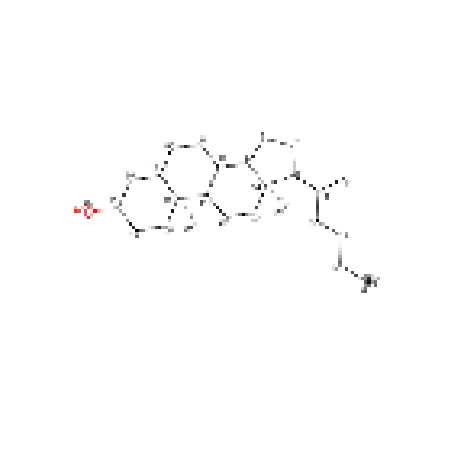 CC(C)CCCC(C)C1CCC2C3CCC4CC(O)CC[C@]4(C)C3CC[C@]12C